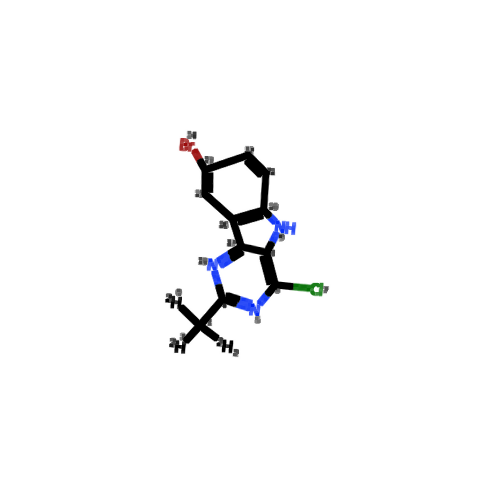 [2H]C([2H])([2H])c1nc(Cl)c2[nH]c3ccc(Br)cc3c2n1